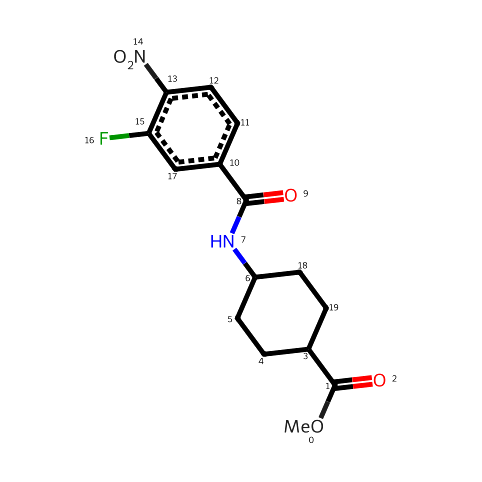 COC(=O)C1CCC(NC(=O)c2ccc([N+](=O)[O-])c(F)c2)CC1